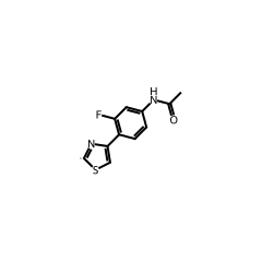 CC(=O)Nc1ccc(-c2cs[c]n2)c(F)c1